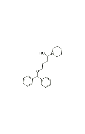 OC(CCCOC(c1ccccc1)c1ccccc1)N1CCCCC1